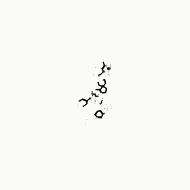 Cc1ncnc(C(=O)N2CCC3(CCc4c3c(=O)n3nc(C5=CCOCC5)nc3n4CC(=O)Nc3ccc(C(F)(F)F)cc3Cl)CC2)c1O